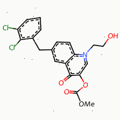 COC(=O)Oc1cn(CCO)c2ccc(Cc3cccc(Cl)c3Cl)cc2c1=O